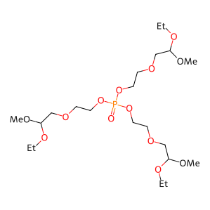 CCOC(COCCOP(=O)(OCCOCC(OC)OCC)OCCOCC(OC)OCC)OC